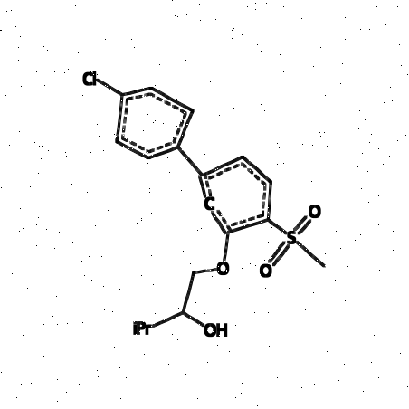 CC(C)C(O)COc1cc(-c2ccc(Cl)cc2)ccc1S(C)(=O)=O